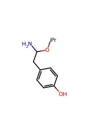 CC(C)OC(N)Cc1ccc(O)cc1